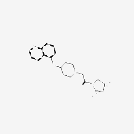 C[C@@H]1C[C@H](F)CN1C(=O)CN1CCC(Oc2cccc3ncccc23)CC1